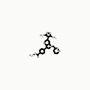 COC(=O)c1ccc(-c2cn(Cc3cccnn3)c3cc(-c4c(C)noc4C)cnc23)cc1